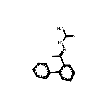 C/C(=N\NC(N)=S)c1ccccc1-c1ccccc1